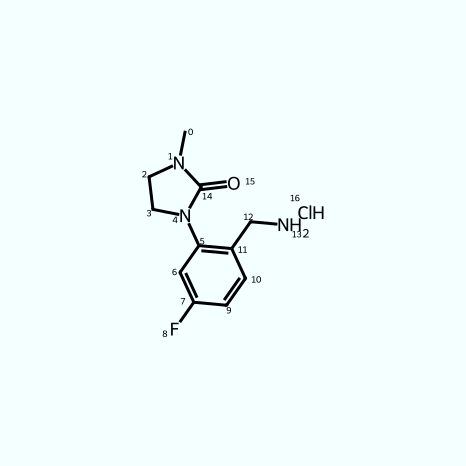 CN1CCN(c2cc(F)ccc2CN)C1=O.Cl